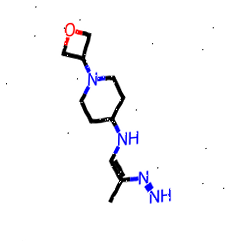 CC(=CNC1CCN(C2COC2)CC1)N=N